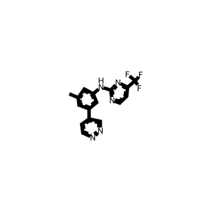 Cc1cc(Nc2nccc(C(F)(F)F)n2)cc(-c2ccnnc2)c1